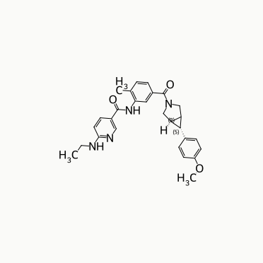 CCNc1ccc(C(=O)Nc2cc(C(=O)N3CC4[C@H](C3)[C@H]4c3ccc(OC)cc3)ccc2C)cn1